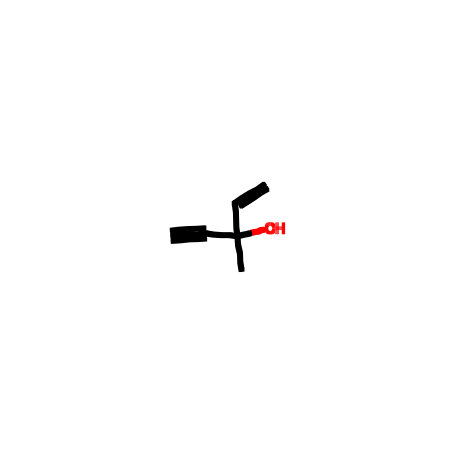 C#CC(C)(O)C=C